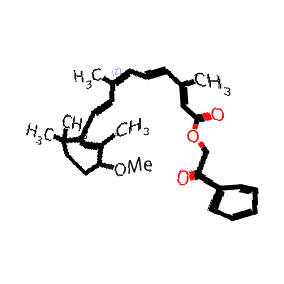 COC1CCC(C)(C)C(C=C/C(C)=C\C=CC(C)=CC(=O)OCC(=O)c2ccccc2)=C1C